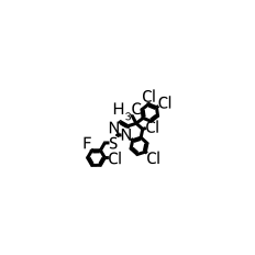 CCC1(c2ccc(Cl)c(Cl)c2)c2cnc(SCc3c(F)cccc3Cl)n2-c2ccc(Cl)cc2C1Cl